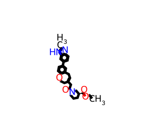 CCOC(=O)[C@H]1CCCN(C(=O)C/C2=C/Cc3cc(-c4ccc5nc(C)[nH]c5c4)ccc3OCC2)C1